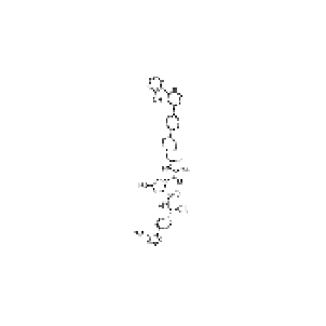 Cc1ncsc1-c1ccc([C@H](C)NC(=O)[C@@H]2C[C@@H](O)CN2C(=O)C(NC(=O)CC2CCC(c3ccc(-c4cnnc(-c5ccccc5O)c4)cc3)CC2)C(C)(C)C)cc1